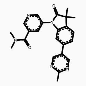 Cc1ncc(-c2ccc3c(c2)N(c2cncc(C(=O)N(C)C)c2)C(=O)C3(C)C)cn1